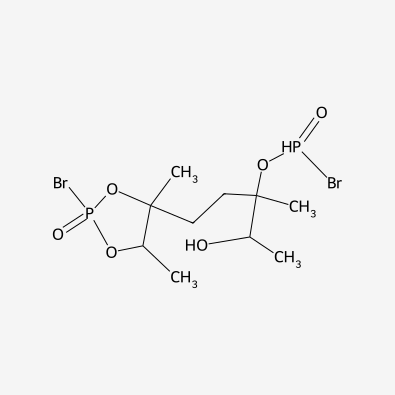 CC(O)C(C)(CCC1(C)OP(=O)(Br)OC1C)O[PH](=O)Br